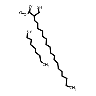 CCCCCCCCCCCCCCCCCCC(CS)C([O-])=[O+][O-].CCCCCCC[CH2][Sn+]